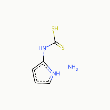 N.S=C(S)Nc1ccc[nH]1